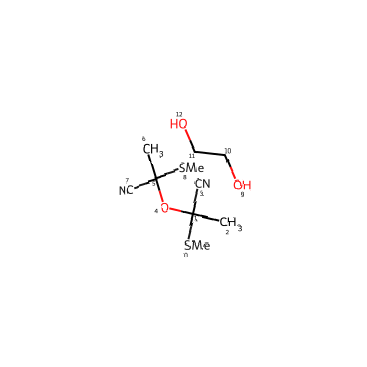 CSC(C)(C#N)OC(C)(C#N)SC.OCCO